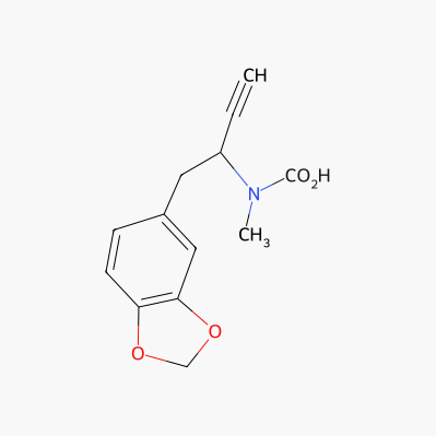 C#CC(Cc1ccc2c(c1)OCO2)N(C)C(=O)O